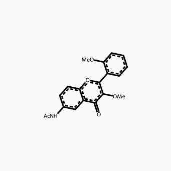 COc1ccccc1-c1oc2ccc(NC(C)=O)cc2c(=O)c1OC